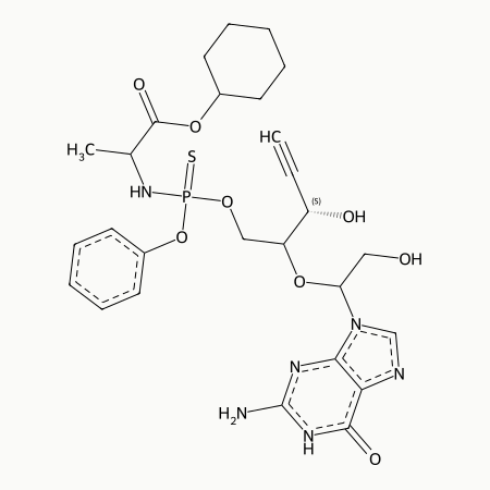 C#C[C@H](O)C(COP(=S)(NC(C)C(=O)OC1CCCCC1)Oc1ccccc1)OC(CO)n1cnc2c(=O)[nH]c(N)nc21